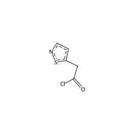 O=C(Cl)Cc1ccns1